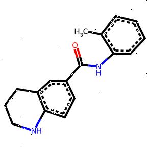 Cc1ccccc1NC(=O)c1ccc2c(c1)CCCN2